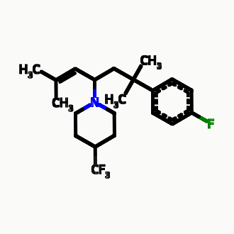 CC(C)=CC(CC(C)(C)c1ccc(F)cc1)N1CCC(C(F)(F)F)CC1